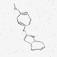 COc1cccc(Cc2cc3ccccc3[nH]2)c1